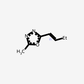 CC/C=C/c1nnc(C)o1